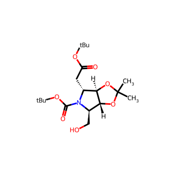 CC(C)(C)OC(=O)C[C@@H]1[C@H]2OC(C)(C)O[C@@H]2[C@@H](CO)N1C(=O)OC(C)(C)C